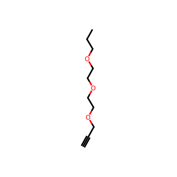 C#CCOCCOCCOCCC